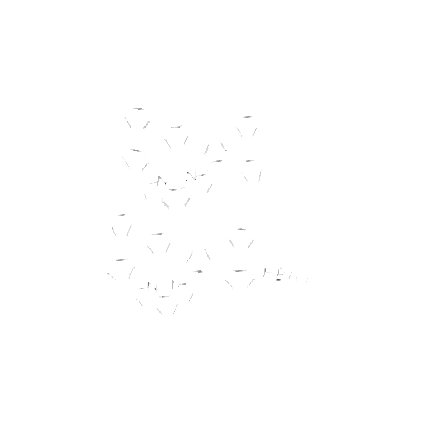 F[B-](F)(F)F.[Cu+].c1ccc(C(c2ccccc2)c2cccc(-c3ccc4ccc5ccc(-c6cccc(C(c7ccccc7)c7ccccc7)c6)nc5c4n3)c2)cc1.c1ccc(C(c2ccccc2)c2cccc(-c3ccc4ccc5ccc(-c6cccc(C(c7ccccc7)c7ccccc7)c6)nc5c4n3)c2)cc1